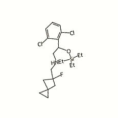 CC[Si](CC)(CC)OC(CNCC1(F)CC2(CC2)C1)c1c(Cl)cccc1Cl